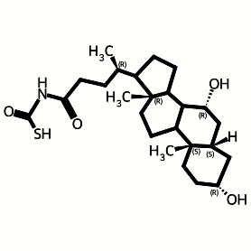 C[C@H](CCC(=O)NC(=O)S)C1CCC2C3C(CC[C@@]21C)[C@@]1(C)CC[C@@H](O)C[C@H]1C[C@H]3O